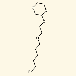 BrCCCCCOCCOC1COCCO1